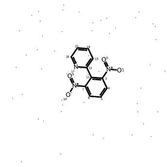 O=[N+]([O-])c1cccc([N+](=O)[O-])c1-c1ccccn1